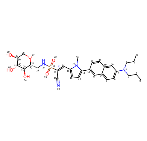 CCCN(CCC)c1ccc2cc(-c3ccc(/C=C(\C#N)S(=O)(=O)NC[C@H]4OC[C@H](O)[C@@H](O)[C@@H]4O)n3C)ccc2c1